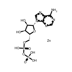 Nc1ncnc2c1ncn2[C@@H]1O[C@H](COP(=O)(O)OP(=O)(O)O)[C@@H](O)[C@H]1O.[Zn]